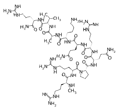 CN[C@@H](CCCNC(=N)N)C(=O)N[C@@H](CCCNC(=N)N)C(=O)N1CCC[C@H]1C(=O)N[C@@H](CCC(N)=O)C(=O)N[C@@H](CCCNC(=N)N)C(=O)N[C@@H](CCC(N)=O)C(=O)N[C@@H](CCCCN)C(=O)N[C@@H](C)C(=O)N[C@H](C(=O)N[C@@H](CCCNC(=N)N)C(N)=O)C(C)C